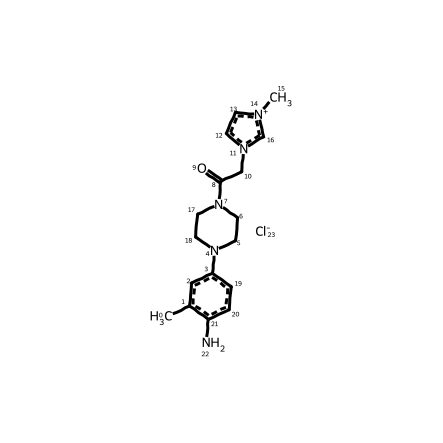 Cc1cc(N2CCN(C(=O)Cn3cc[n+](C)c3)CC2)ccc1N.[Cl-]